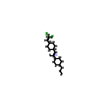 CCCC1CCC(/C(C)=C/C2CCC(C=C(F)F)CC2)CC1